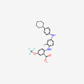 COC(=O)c1cc(OC(F)(F)F)ccc1Nc1ccc(N(C)c2ccc(C3CCCCC3)cc2)cc1C